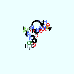 COc1ccc2c(O[C@H]3C[C@H]4C(=O)N(C)CCCC/C=C\[C@H]5C[C@@]5(C(=O)NS(=O)(=O)C5CC5)NC(=O)N4C3)cc(-n3ccc(C(F)(F)F)n3)nc2c1Cl